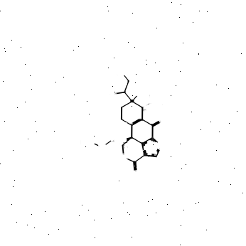 CCC(O)C1(C)CCC2=C(C(=O)c3occ4c3C2(C)[C@@H](COC)OC4=O)[C@@H]1C